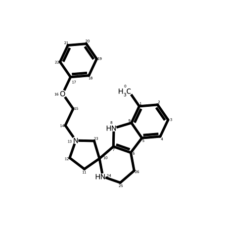 Cc1cccc2c3c([nH]c12)C1(CCN(CCOc2ccccc2)C1)NCC3